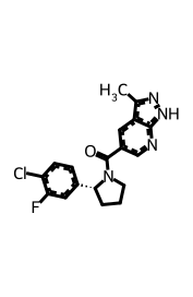 Cc1n[nH]c2ncc(C(=O)N3CCC[C@@H]3c3ccc(Cl)c(F)c3)cc12